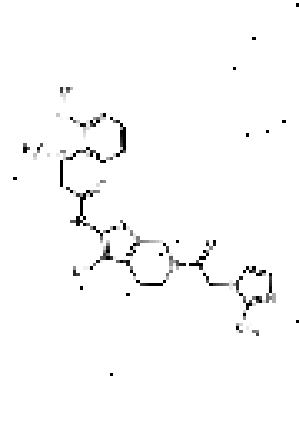 CCOc1ccccc1[C@@H](C)CC(=O)Nc1sc2c(c1C#N)CCN(C(=O)Cn1ccnc1C)C2